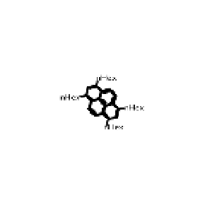 CCCCCCc1cc(CCCCCC)c2ccc3c(CCCCCC)cc(CCCCCC)c4ccc1c2c43